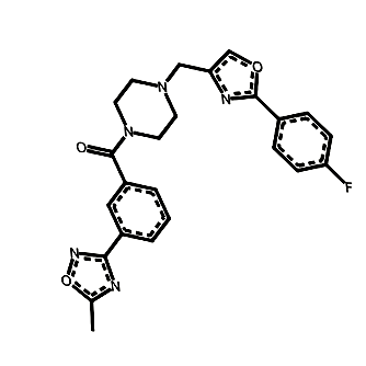 Cc1nc(-c2cccc(C(=O)N3CCN(Cc4coc(-c5ccc(F)cc5)n4)CC3)c2)no1